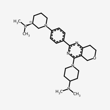 CN(C)C1CCN(c2nc(-c3ccc(N4CCC[C@H](N(C)C)C4)cc3)nc3c2COCC3)CC1